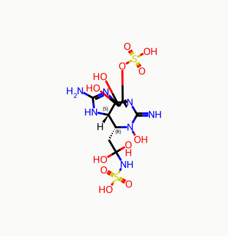 N=C1N(O)[C@H](CC(O)(O)NS(=O)(=O)O)[C@@H]2NC(N)=NC23N1C=C(OS(=O)(=O)O)C3(O)O